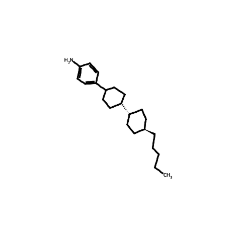 CCCCC[C@H]1CC[C@H](C2CCC(c3ccc(N)cc3)CC2)CC1